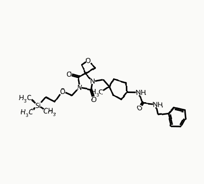 CC1(CN2C(=O)N(COCC[Si](C)(C)C)C(=O)C23COC3)CCC(NC(=O)NCc2ccccc2)CC1